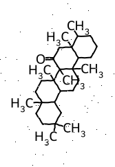 CC1CCCC2C1(C)CC(=O)C1(C)C3(C)CCC4(C)CCC(C)(C)CC4C3CCC21C